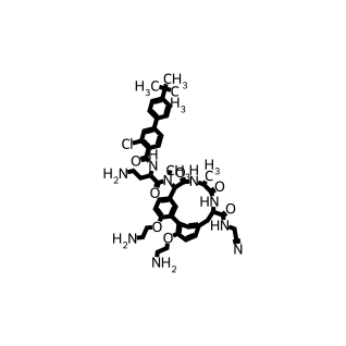 CC1NC(=O)C(N(C)C(=O)C(CCN)NC(=O)c2ccc(-c3ccc(C(C)(C)C)cc3)cc2Cl)c2ccc(OCCN)c(c2)-c2cc(ccc2OCCN)CC(C(=O)NCC#N)NC1=O